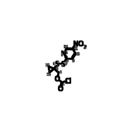 O=C(Cl)OCC1(SSc2ccc([N+](=O)[O-])cn2)CC1